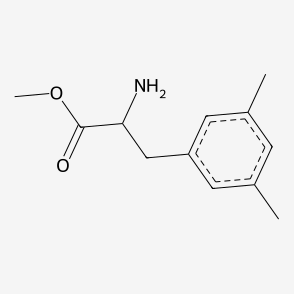 COC(=O)C(N)Cc1cc(C)cc(C)c1